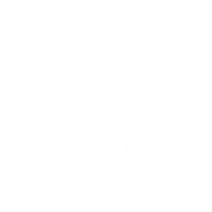 [CH2]/C=C/CCCCCCCCCCCCCCCCCCCCCCCCCC[CH2]